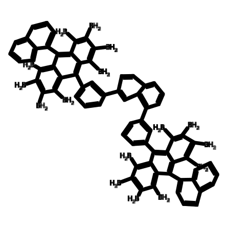 Bc1c(B)c(B)c2c(-c3cccc4ccccc34)c3c(B)c(B)c(B)c(B)c3c(-c3cccc(-c4ccc5cccc(-c6cccc(-c7c8c(B)c(B)c(B)c(B)c8c(-c8cccc9ccccc89)c8c(B)c(B)c(B)c(B)c78)c6)c5c4)c3)c2c1B